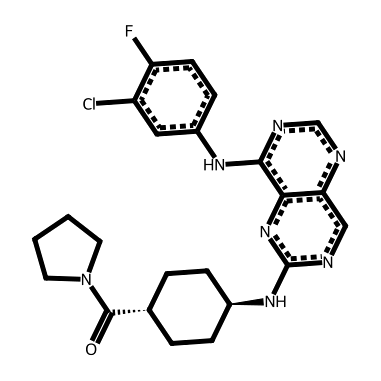 O=C([C@H]1CC[C@H](Nc2ncc3ncnc(Nc4ccc(F)c(Cl)c4)c3n2)CC1)N1CCCC1